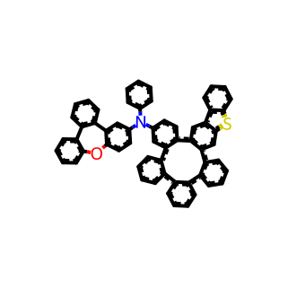 c1ccc(N(c2ccc3c(c2)-c2ccccc2-c2ccccc2O3)c2ccc3c(c2)c2ccccc2c2ccccc2c2ccccc2c2cc4sc5ccccc5c4cc32)cc1